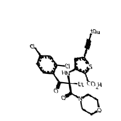 CC[C@](Nc1cc(C#CC(C)(C)C)sc1C(=O)O)(C(=O)c1ccc(Cl)cc1Cl)C(=O)N1CCOCC1